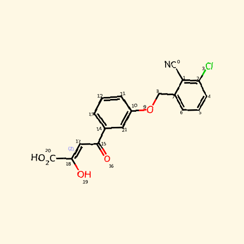 N#Cc1c(Cl)cccc1COc1cccc(C(=O)/C=C(\O)C(=O)O)c1